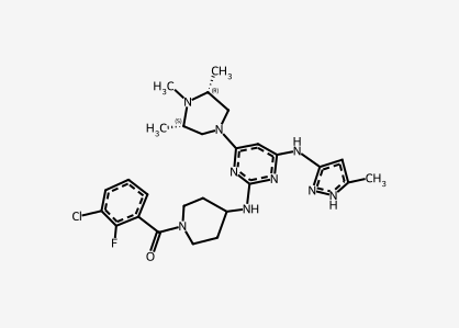 Cc1cc(Nc2cc(N3C[C@@H](C)N(C)[C@@H](C)C3)nc(NC3CCN(C(=O)c4cccc(Cl)c4F)CC3)n2)n[nH]1